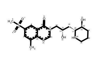 Cc1cc(S(C)(=O)=O)cc2c(=O)n(C[C@@H](O)C[C@H]3NCCC[C@@H]3O)cnc12